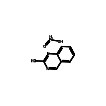 O=[PH2]O.Oc1ncc2ccccc2n1